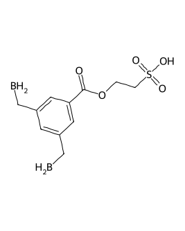 BCc1cc(CB)cc(C(=O)OCCS(=O)(=O)O)c1